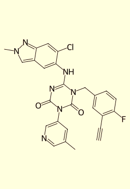 C#Cc1cc(Cn2c(Nc3cc4cn(C)nc4cc3Cl)nc(=O)n(-c3cncc(C)c3)c2=O)ccc1F